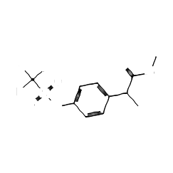 COC(=O)C(C)c1ccc(OS(=O)(=O)C(F)(F)F)cc1